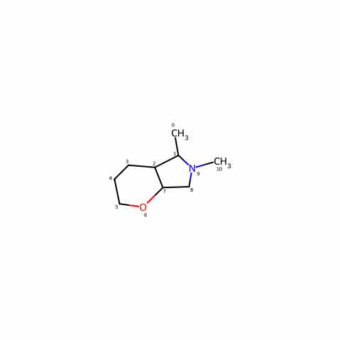 CC1C2CCCOC2CN1C